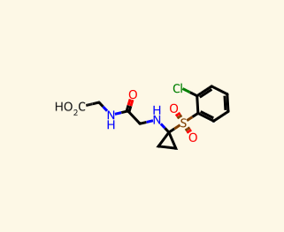 O=C(O)CNC(=O)CNC1(S(=O)(=O)c2ccccc2Cl)CC1